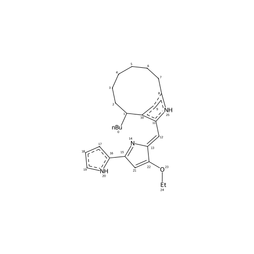 CCCCC1CCCCCCc2cc1c(C=C1N=C(c3ccc[nH]3)C=C1OCC)[nH]2